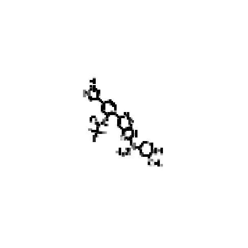 C[C@H]1C[C@@H](N(C)c2nc3nnc(-c4ccc(-c5cn[nH]c5)cc4OC(=O)C(F)(F)F)cc3s2)CCN1